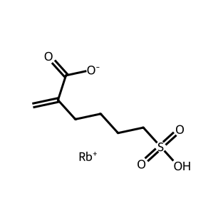 C=C(CCCCS(=O)(=O)O)C(=O)[O-].[Rb+]